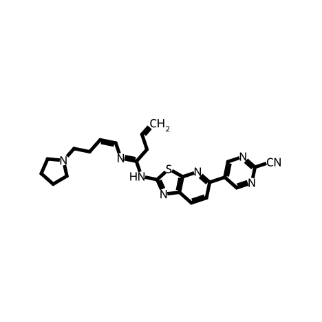 C=CC/C(=N\C=C/CCN1CCCC1)Nc1nc2ccc(-c3cnc(C#N)nc3)nc2s1